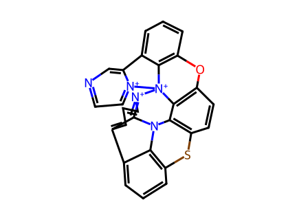 c1cc2c3c(c1)-c1cncc[n+]1[N+]31c3c(ccc4c3-n3c5c(cccc5c5ccc[n+]1c53)S4)O2